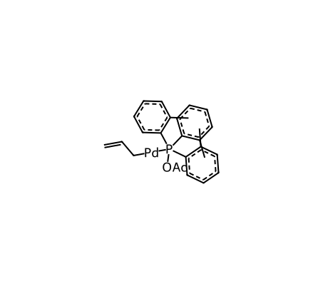 C=C[CH2][Pd][P](OC(C)=O)(c1ccccc1C)(c1ccccc1C)c1ccccc1C